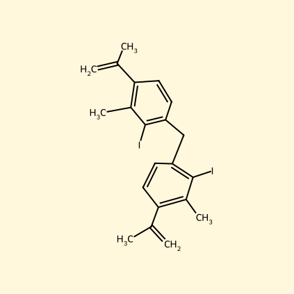 C=C(C)c1ccc(Cc2ccc(C(=C)C)c(C)c2I)c(I)c1C